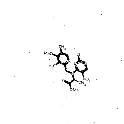 COC(=O)[C@H](C)N(Cc1ncc(C)c(OC)c1C)c1nc(Cl)ncc1[N+](=O)[O-]